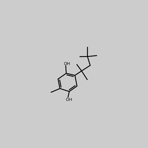 Cc1cc(O)c(C(C)(C)CC(C)(C)C)cc1O